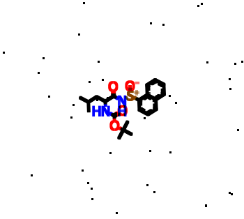 CC(C)CC(NC(=O)OC(C)(C)C)C(=O)N[S+]([O-])c1cccc2ccccc12